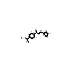 O=C(O)c1ccc(C(=O)/C=C/c2cccs2)cc1